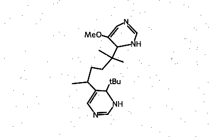 COC1=CN=CNC1C(C)(C)CCC(C)C1=CN=CNC1C(C)(C)C